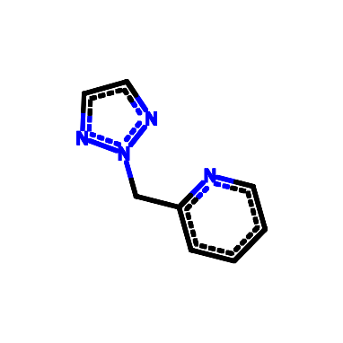 c1ccc(Cn2nccn2)nc1